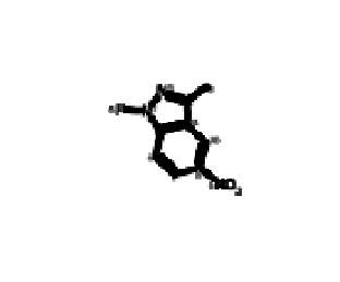 Cc1nn(F)c2ccc([N+](=O)[O-])cc12